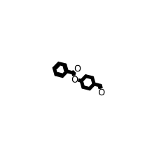 O=CC1CCC(OC(=O)c2ccccc2)CC1